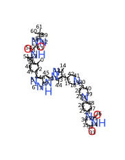 Cc1cc(-c2ncnc3[nH]c(-n4nc(C)c(C5CCN(CC6CCN(c7ccc(N8CCC(=O)NC8=O)cc7)CC6)CC5)c4C)cc23)ccc1[C@@H](C)NC(=O)c1nc(C(C)(C)C)no1